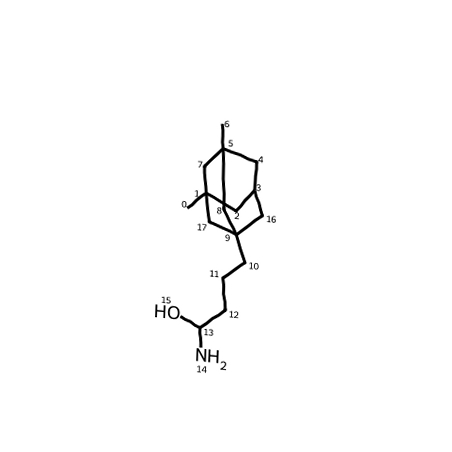 CC12CC3CC(C)(C1)CC(CCCC(N)O)(C3)C2